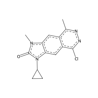 Cc1nnc(Cl)c2cc3c(cc12)n(C)c(=O)n3C1CC1